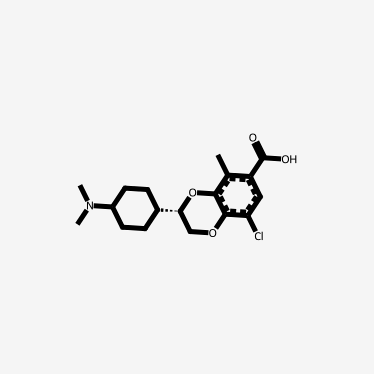 Cc1c(C(=O)O)cc(Cl)c2c1O[C@@H](C1CCC(N(C)C)CC1)CO2